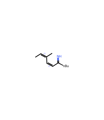 C/C=C(C)\C=C/C(=N)CCCC